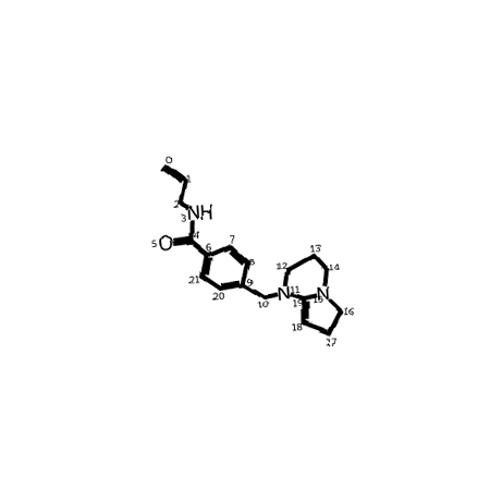 C=CCNC(=O)c1ccc(CN2CCCN3CCC=C32)cc1